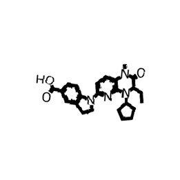 CCC1C(=O)N(C)c2ccc(N3CCc4cc(C(=O)O)ccc43)nc2N1C1CCCC1